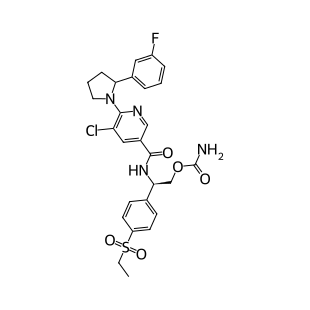 CCS(=O)(=O)c1ccc([C@H](COC(N)=O)NC(=O)c2cnc(N3CCCC3c3cccc(F)c3)c(Cl)c2)cc1